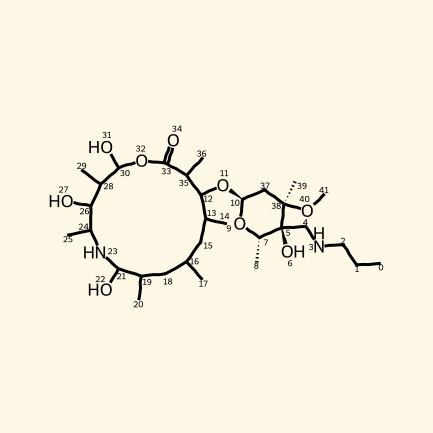 CCCNC[C@]1(O)[C@H](C)O[C@@H](OC2C(C)CC(C)CC(C)C(O)NC(C)C(O)C(C)C(O)OC(=O)C2C)C[C@@]1(C)OC